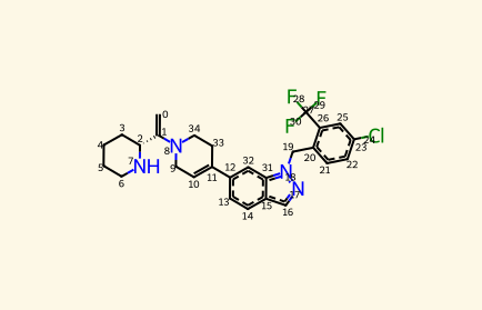 C=C([C@H]1CCCCN1)N1CC=C(c2ccc3cnn(Cc4ccc(Cl)cc4C(F)(F)F)c3c2)CC1